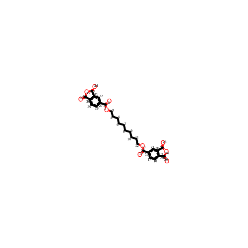 O=C(OCCCCCCCCCCOC(=O)c1ccc2c(c1)C(=O)OC2=O)c1ccc2c(c1)C(=O)OC2=O